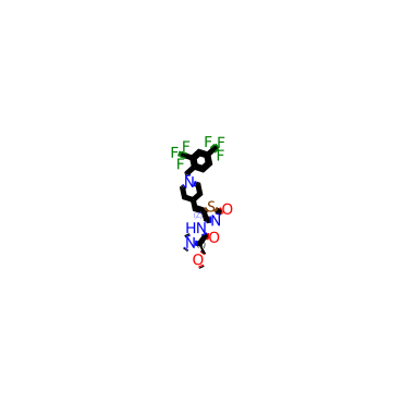 COC[C@H](C(=O)NC1=NC(=O)S/C1=C\C1CCN(Cc2ccc(C(F)(F)F)cc2C(F)(F)F)CC1)N(C)C